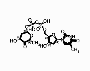 Cc1cn([C@H]2C[C@H](O)[C@@H](COP(=O)(O)OP(=O)(O)O[C@@H]3C[C@@H](O)C(=O)[C@@H](C)O3)O2)c(=O)[nH]c1=O